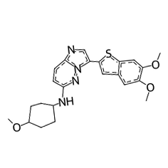 COc1cc2cc(-c3cnc4ccc(NC5CCC(OC)CC5)nn34)sc2cc1OC